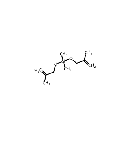 C=C(C)CO[Si](C)(C)OCC(=C)C